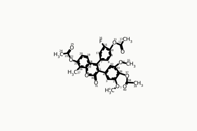 COc1cc(-c2c(-c3ccc(OC(C)=O)c(F)c3)c3ccc(OC(C)=O)c(C)c3oc2=O)cc(OC)c1OC(C)=O